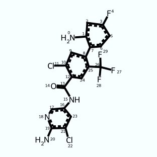 Nc1cc(F)ccc1-c1cc(Cl)c(C(=O)Nc2cnc(N)c(Cl)c2)cc1C(F)(F)F